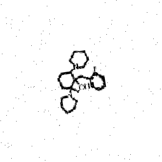 Cc1ccccc1CC1(O)C(N2CCCCC2)CCCC1(C)N1CCCCC1